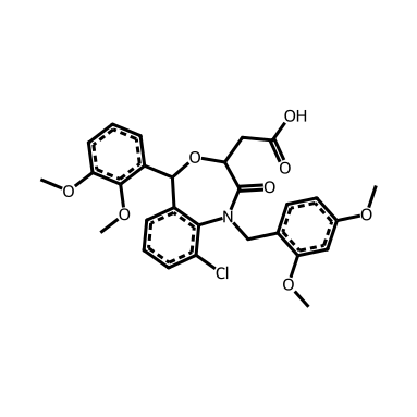 COc1ccc(CN2C(=O)C(CC(=O)O)OC(c3cccc(OC)c3OC)c3cccc(Cl)c32)c(OC)c1